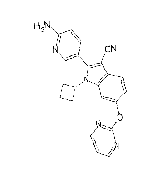 N#Cc1c(-c2ccc(N)nc2)n(C2CCC2)c2cc(Oc3ncccn3)ccc12